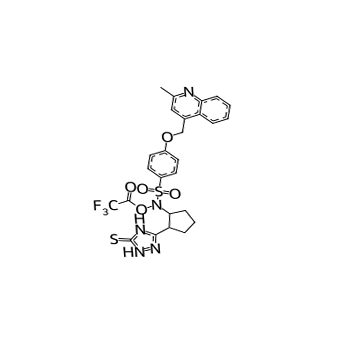 Cc1cc(COc2ccc(S(=O)(=O)N(OC(=O)C(F)(F)F)C3CCCC3c3n[nH]c(=S)[nH]3)cc2)c2ccccc2n1